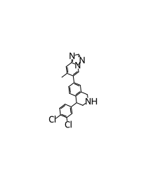 Cc1cc2ncnn2cc1-c1ccc2c(c1)CNCC2c1ccc(Cl)c(Cl)c1